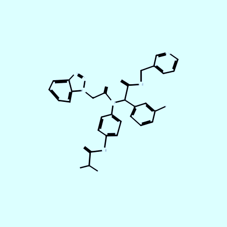 CC(C)C(=O)Nc1ccc(N(C(=O)Cn2nnc3ccccc32)C(C(=O)NCc2cccnc2)c2cccc(F)c2)cc1